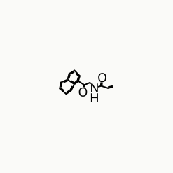 C=CC(=O)NCC(=O)c1cccc2ccccc12